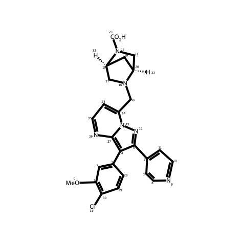 COc1cc(-c2c(-c3ccncc3)nn3c(CN4C[C@@H]5C[C@H]4CN5C(=O)O)ccnc23)ccc1Cl